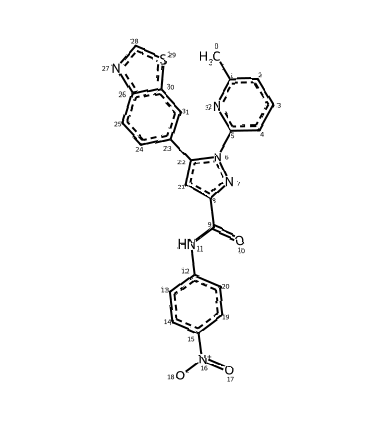 Cc1cccc(-n2nc(C(=O)Nc3ccc([N+](=O)[O-])cc3)cc2-c2ccc3ncsc3c2)n1